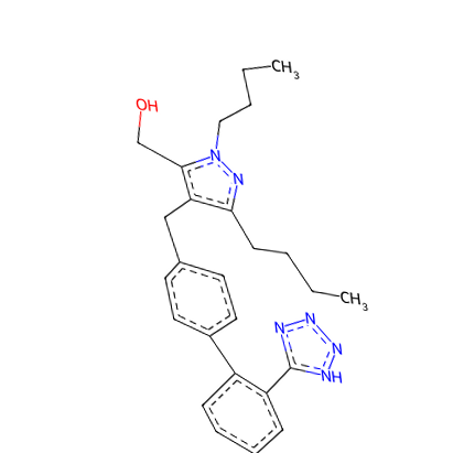 CCCCc1nn(CCCC)c(CO)c1Cc1ccc(-c2ccccc2-c2nnn[nH]2)cc1